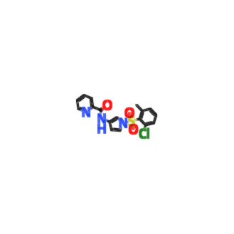 Cc1cccc(Cl)c1S(=O)(=O)n1ccc(NC(=O)c2ccccn2)c1